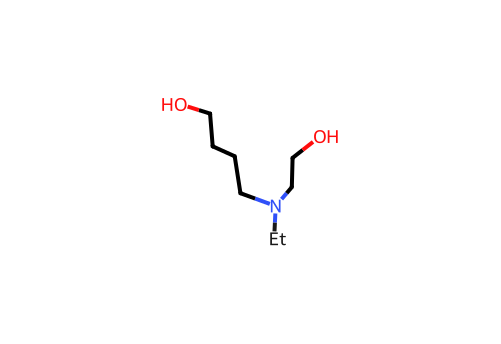 CCN(CCO)CCCCO